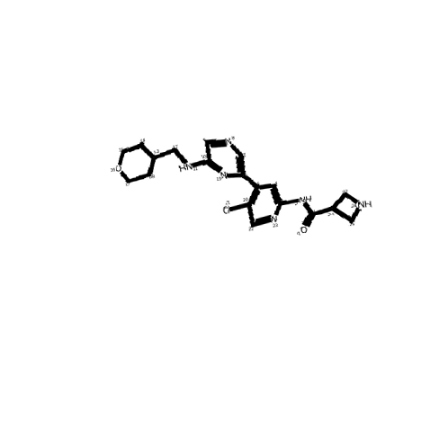 O=C(Nc1cc(-c2cncc(NCC3CCOCC3)n2)c(Cl)cn1)C1CNC1